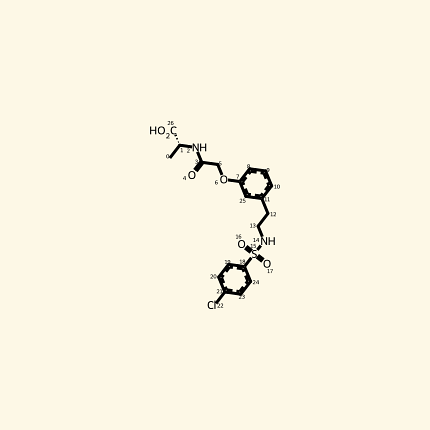 C[C@@H](NC(=O)COc1cccc(CCNS(=O)(=O)c2ccc(Cl)cc2)c1)C(=O)O